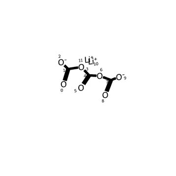 O=C([O-])OC(=O)OC(=O)[O-].[Li+].[Li+]